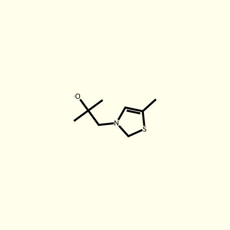 CC1=CN(CC(C)(C)[O])CS1